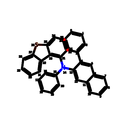 c1ccc(-c2cc3ccccc3cc2N(c2ccccc2)c2cccc3sc4ccccc4c23)cc1